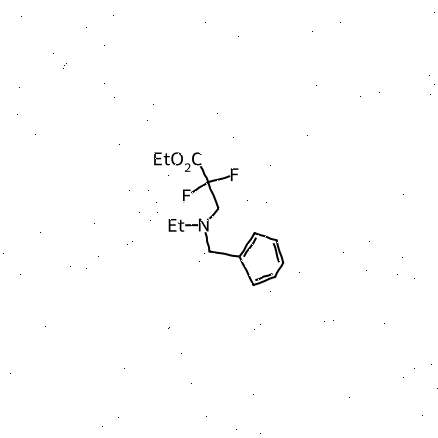 CCOC(=O)C(F)(F)CN(CC)Cc1ccccc1